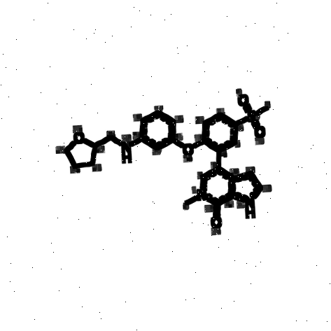 Cn1cc(-c2cc(S(C)(=O)=O)ccc2Oc2cccc(NCC3CCCO3)c2)c2cc[nH]c2c1=O